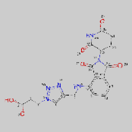 O=C(O)CCn1cc(CNc2cccc3c2C(=O)N(C2CCC(=O)NC2=O)C3=O)nn1